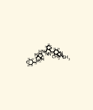 Cc1c(-c2nnc(NC3C[C@@H]4CN(CC5CCOCC5)C[C@@H]4C3)c3ccsc23)ccc2nn(C)cc12